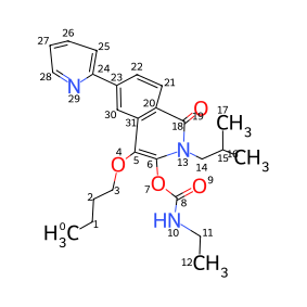 CCCCOc1c(OC(=O)NCC)n(CC(C)C)c(=O)c2ccc(-c3ccccn3)cc12